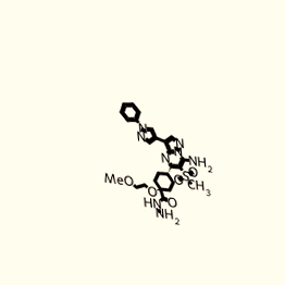 COCCO[C@]1(C(=O)NN)CC[C@H](c2nc3c(-c4cnn(-c5ccccc5)c4)cnn3c(N)c2S(C)(=O)=O)CC1